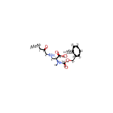 CNCC(=O)CNCC(C(=O)OC(C)(C)C)N(C)C(=O)OCc1ccccc1